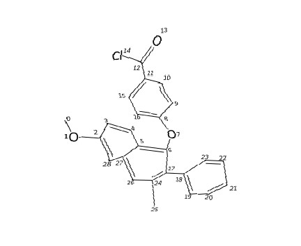 COc1ccc2c(Oc3ccc(C(=O)Cl)cc3)c(-c3ccccc3)c(C)cc2c1